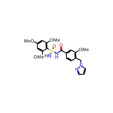 COc1cc(OC)c([S@@](=N)(=O)NC(=O)c2ccc(Cn3cccn3)c(OC)c2)c(OC)c1